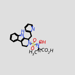 C[C@H](C(=O)O)N(O)S(=O)(=O)N1CCc2c([nH]c3ccccc23)C1Cc1ccccn1